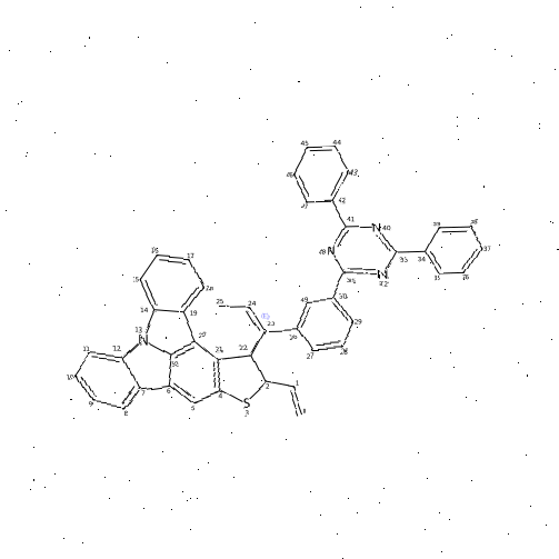 C=CC1Sc2cc3c4ccccc4n4c5ccccc5c(c2C1/C(=C\C)c1cccc(-c2nc(-c5ccccc5)nc(-c5ccccc5)n2)c1)c34